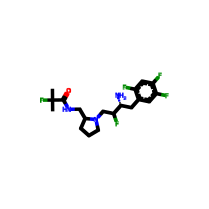 CC(C)(F)C(=O)NCC1CCCN1CC(F)[C@H](N)Cc1cc(F)c(F)cc1F